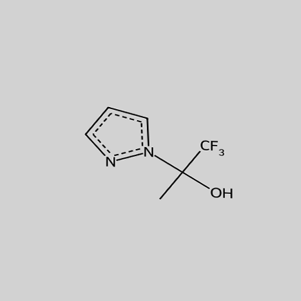 CC(O)(n1cccn1)C(F)(F)F